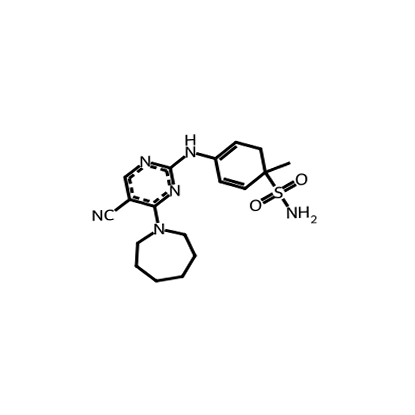 CC1(S(N)(=O)=O)C=CC(Nc2ncc(C#N)c(N3CCCCCC3)n2)=CC1